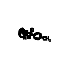 Cc1ccc(S(=O)(=O)NC2C3CC4CC3CN2C4)cc1